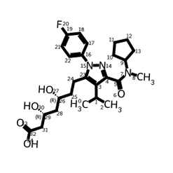 CC(C)c1c(C(=O)N(C)C2CCCC2)nn(-c2ccc(F)cc2)c1CC[C@@H](O)C[C@@H](O)CC(=O)O